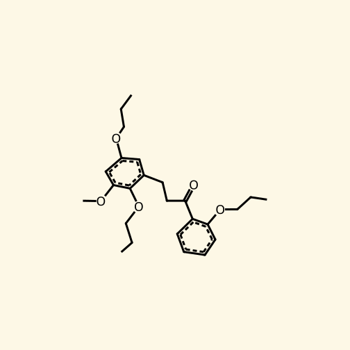 CCCOc1cc(CCC(=O)c2ccccc2OCCC)c(OCCC)c(OC)c1